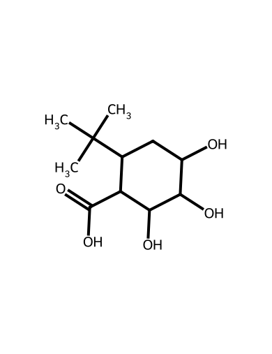 CC(C)(C)C1CC(O)C(O)C(O)C1C(=O)O